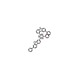 c1ccc(-c2ccc3c(c2)oc2cc(-c4nc(-c5ccccc5)nc(-c5cccc6sc7ccc(-c8ccccc8)cc7c56)n4)ccc23)cc1